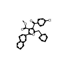 COC(=O)c1c(-c2ccc3ccccc3c2)oc(Cc2ccccc2)c1C(=O)c1ccc(Cl)cc1